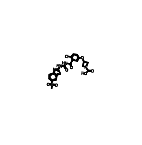 CS(=O)(=O)c1ccc2nc(NC(=O)NC(=O)c3cc(OC4CN(C(=O)O)C4)ccc3Cl)sc2c1